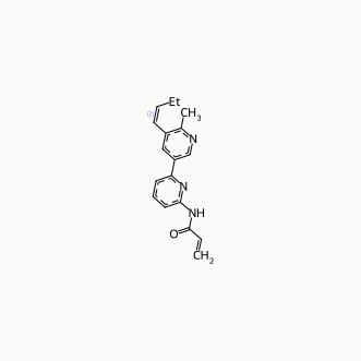 C=CC(=O)Nc1cccc(-c2cnc(C)c(/C=C\CC)c2)n1